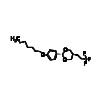 CCCCCCCOc1ccc([C@H]2OC[C@H](CCC(F)(F)F)CO2)cc1